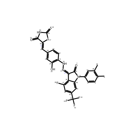 Cc1ccc(N2C(=O)/C(=N\Nc3ccc(/C=C4\SC(=S)NC4=O)cc3O)c3c(F)cc(C(F)(F)F)cc32)cc1C